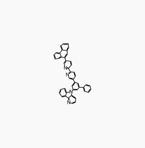 c1ccc(-c2cc(-c3ccc(-c4ccc(-c5cc6ccccc6c6ccccc56)cn4)nc3)cc(-n3c4ccccc4c4ncccc43)c2)cc1